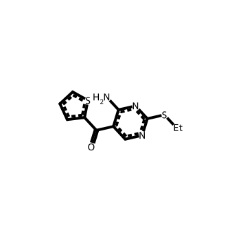 CCSc1ncc(C(=O)c2cccs2)c(N)n1